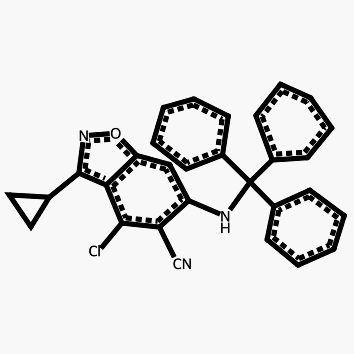 N#Cc1c(NC(c2ccccc2)(c2ccccc2)c2ccccc2)cc2onc(C3CC3)c2c1Cl